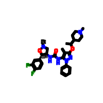 CCN1C[C@@H](NC(=O)Nc2c(C)c(OC(C)C3CCN(C)CC3)nn2-c2ccccc2)[C@H](c2ccc(F)c(F)c2)O1